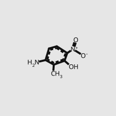 Cc1c(N)ccc([N+](=O)[O-])c1O